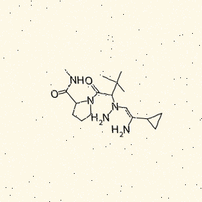 CNC(=O)C1CCCN1C(=O)C(N(N)/C=C(\N)C1CC1)C(C)(C)C